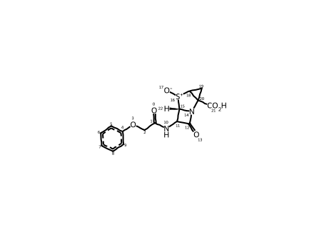 O=C(COc1ccccc1)NC1C(=O)N2[C@H]1[S+]([O-])C1CC12C(=O)O